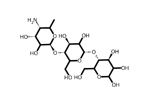 CC1O[C@@H](O[C@H]2C(CO)O[C@@H](O[C@H]3C(CO)OC(O)C(O)[C@@H]3O)C(O)[C@@H]2O)C(O)[C@H](O)[C@@H]1N